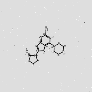 O=C1CCCN1c1cc2nc(Cl)nc(N3CCOCC3)c2s1